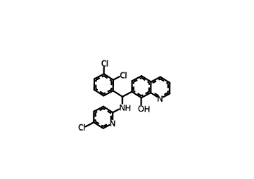 Oc1c(C(Nc2ccc(Cl)cn2)c2cccc(Cl)c2Cl)ccc2cccnc12